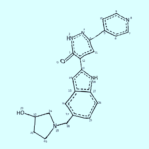 O=c1[nH]nc(-c2ccncc2)cc1-c1cc2cc(CN3CCC(O)C3)ccc2[nH]1